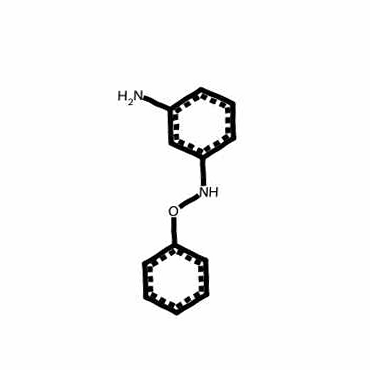 Nc1cccc(NOc2ccccc2)c1